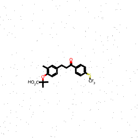 Cc1cc(CCC(=O)c2ccc(SC(F)(F)F)cc2)ccc1OC(C)(C)C(=O)O